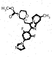 COC(=O)N1CCO[C@@H](Cc2c(-c3c(F)cc(-n4ccnc4)cc3F)nc3cc(C)ccn23)C1